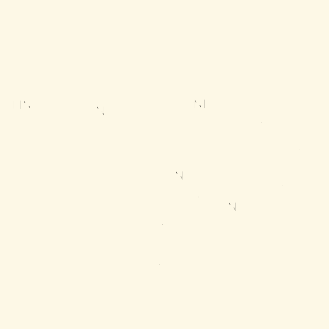 Cc1csc2c(N[C@@H](C)CN3CCNCC3)nc(C3CC3)nc12